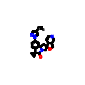 Cc1cnn(-c2ccc(C3(C(=O)N4CCC5(C4)OC=C4C=NC=CC45)CC3)cc2)c1